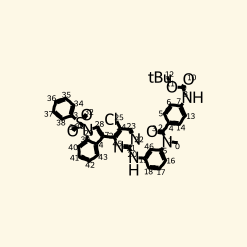 CN(C(=O)c1ccc(NC(=O)OC(C)(C)C)cc1)c1cccc(Nc2ncc(Cl)c(-c3cn(S(=O)(=O)c4ccccc4)c4ccccc34)n2)c1